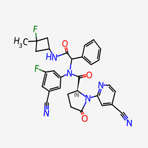 CC1(F)CC(NC(=O)C(c2ccccc2)N(C(=O)[C@@H]2CCC(=O)N2c2cc(C#N)ccn2)c2cc(F)cc(C#N)c2)C1